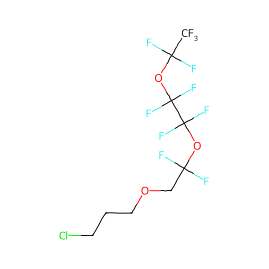 FC(F)(COCCCCl)OC(F)(F)C(F)(F)OC(F)(F)C(F)(F)F